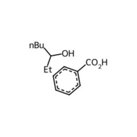 CCCCC(O)CC.O=C(O)c1ccccc1